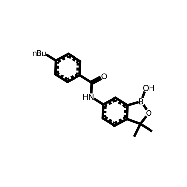 CCCCc1ccc(C(=O)Nc2ccc3c(c2)B(O)OC3(C)C)cc1